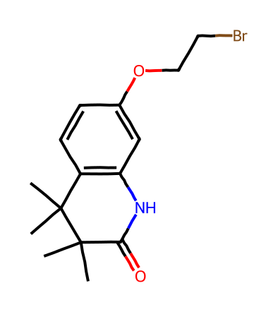 CC1(C)C(=O)Nc2cc(OCCBr)ccc2C1(C)C